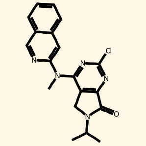 CC(C)N1Cc2c(nc(Cl)nc2N(C)c2cc3ccccc3cn2)C1=O